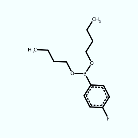 CCCCOB(OCCCC)c1ccc(F)cc1